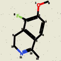 COc1ccc2c(c1F)CCN=C2C